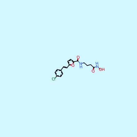 O=C(CCCNC(=O)c1ccc(C=Cc2ccc(Cl)cc2)o1)NO